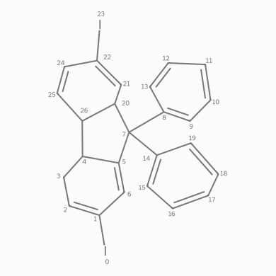 IC1=CCC2C(=C1)C(c1ccccc1)(c1ccccc1)C1C=C(I)C=CC21